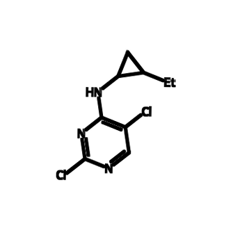 CCC1CC1Nc1nc(Cl)ncc1Cl